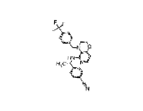 C[C@H](Nc1nccc2c1N(Cc1ccc(C(F)(F)F)cc1)CCO2)c1ccc(C#N)cc1